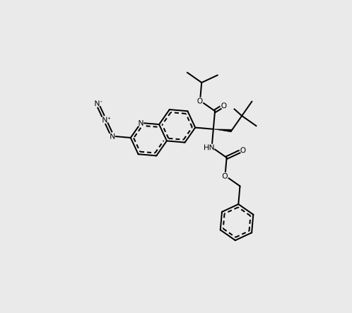 CC(C)OC(=O)[C@](CC(C)(C)C)(NC(=O)OCc1ccccc1)c1ccc2nc(N=[N+]=[N-])ccc2c1